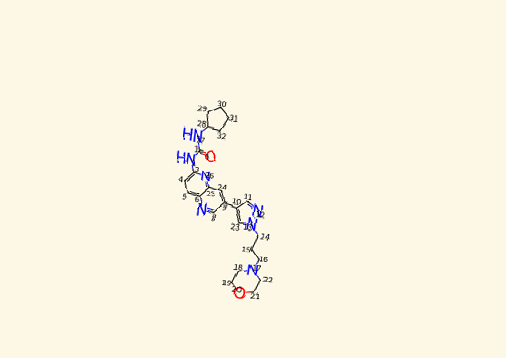 O=C(Nc1ccc2ncc(-c3cnn(CCCN4CCOCC4)c3)cc2n1)NC1CCCC1